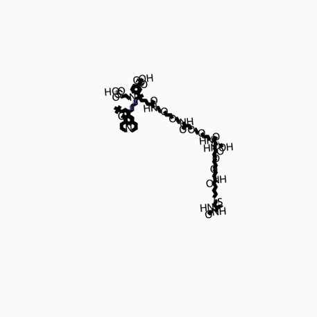 CC(C)(C)c1cc(/C=C/C=C2\N(CCCS(=O)(=O)O)c3ccc(S(=O)(=O)O)cc3C2(C)CCCC(=O)NCCOCCOCCNC(=O)COCCOCCNC(=O)[C@H](CO)NC(=O)COCCOCCNC(=O)CCCC[C@@H]2SCC3NC(=O)NC32)c2cc3c4c(c2[o+]1)CCCN4CCC3